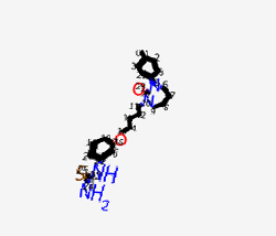 Cc1ccc(N2CCCCN(CCCCCOc3cccc(NC(N)=S)c3)C2=O)cc1